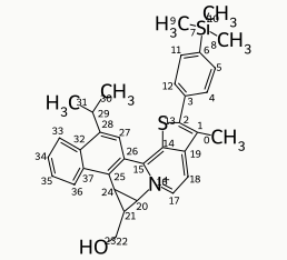 Cc1c(-c2ccc([Si](C)(C)C)cc2)sc2c3[n+](ccc12)C1C(CO)C1c1c-3cc(C(C)C)c2ccccc12